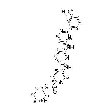 Cc1cccc(-c2nccc(Nc3ccnc(Nc4ccc(C(=O)O[C@H]5CCCNC5)nc4)n3)n2)n1